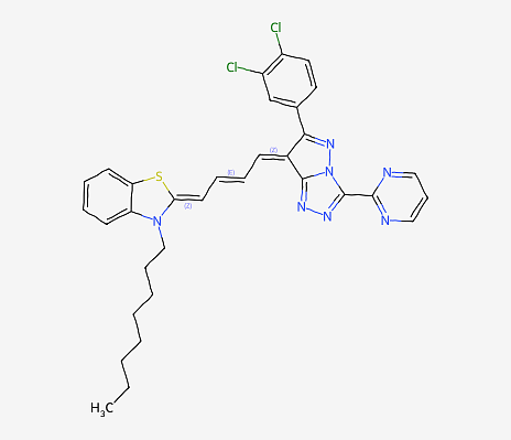 CCCCCCCCN1/C(=C/C=C/C=c2/c(-c3ccc(Cl)c(Cl)c3)nn3c(-c4ncccn4)nnc23)Sc2ccccc21